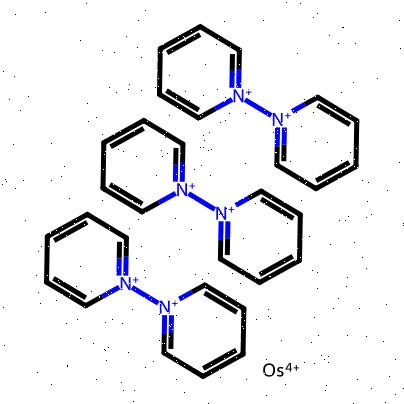 [Os+4].c1cc[n+](-[n+]2ccccc2)cc1.c1cc[n+](-[n+]2ccccc2)cc1.c1cc[n+](-[n+]2ccccc2)cc1